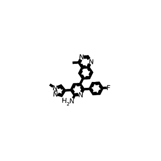 Cc1ncnc2ccc(-c3cc(-c4cnn(C)c4)c(N)nc3-c3ccc(F)cc3)cc12